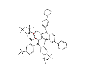 Cc1cc2c3c(c1)N(c1ccc(C(C)(C)C)cc1-c1ccc4c(c1)C(C)(C)CC4(C)C)c1cc4c(cc1B3c1cc(-c3ccccc3)ccc1N2c1ccc(-c2ccccc2)cc1)C(C)(C)CC4(C)C